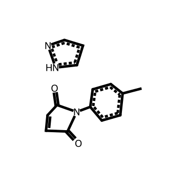 Cc1ccc(N2C(=O)C=CC2=O)cc1.c1cn[nH]c1